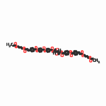 C=CC(=O)OCCCCOC(=O)/C=C/c1ccc(C(=O)Oc2ccc(C(=O)Oc3ccc(C(=O)O[C@@H]4CO[C@H]5[C@@H]4OC[C@@H]5OC(=O)c4ccc(OC(=O)c5ccc(/C=C/C(=O)OCCCCOC(=O)C=C)cc5)cc4)cc3)cc2)cc1